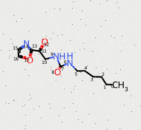 CCCCCCNC(=O)NCC(=O)c1ncco1